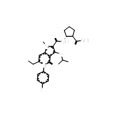 CCc1cc2c(c(OC(C)C)c(C(=O)N[C@H]3CCCC3C(N)=O)n2C)c(=O)n1-c1ccc(F)cc1